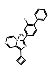 N[N+]12C=CN=CC1=C(C1=CC=C1)N=C2c1ccc(-c2ccccc2)c(F)c1